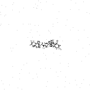 Cc1ccc(NS(=O)(=O)c2ccc(NC(=S)NC(=O)c3ccccc3Br)cc2)c(C)c1